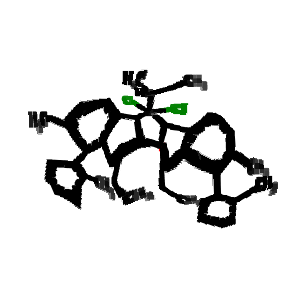 CCCC1=Cc2c(ccc(C)c2-c2ccccc2C)[CH]1[Zr]([Cl])([Cl])([CH]1C(CCC)=Cc2c1ccc(C)c2-c1ccccc1C)[SiH](C)C